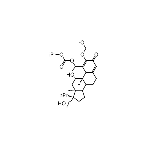 CCC[C@]1(C(=O)O)CCC2C3CCC4=CC(=O)C(OC[O])=C(C(C)OC(=O)OC(C)C)[C@]4(C)[C@@]3(F)[C@@H](O)C[C@@]21C